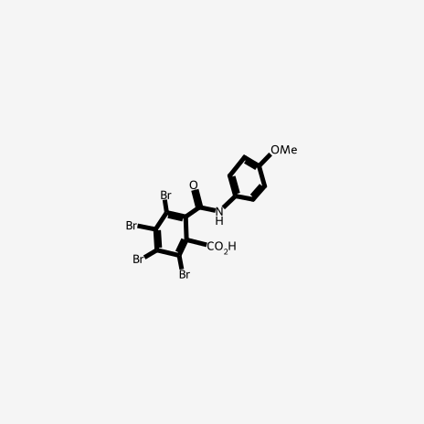 COc1ccc(NC(=O)c2c(Br)c(Br)c(Br)c(Br)c2C(=O)O)cc1